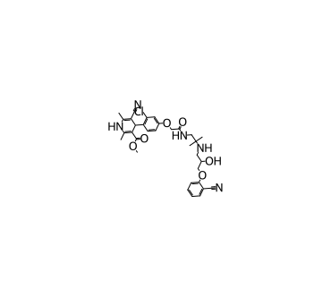 COC(=O)C1=C(C)NC(C)=C(C#N)C1c1ccc(OCC(=O)NCC(C)(C)NCC(O)COc2ccccc2C#N)cc1Cl